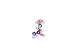 CC(C)(C)c1cc(-c2ccc[nH]c2=O)cc2c(C(=O)N3CCC[C@@H](NS(C)(=O)=O)C3)coc12